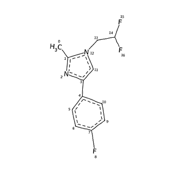 Cc1nc(-c2ccc(F)cc2)cn1CC(F)F